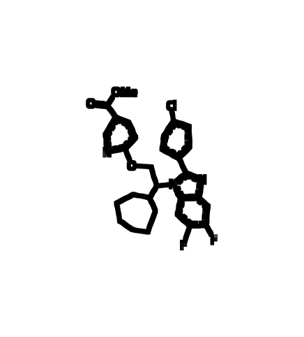 COC(=O)c1ccc(OCC(C2CCCCCC2)n2c(-c3ccc(Cl)cc3)nc3cc(F)c(F)cc32)nc1